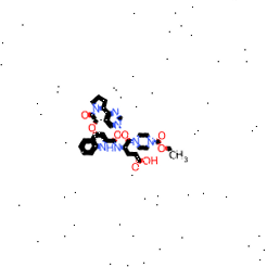 CCOC(=O)N1CCN(C(=O)C(CCC(=O)O)NC(=O)c2cc(OCC(=O)N3CCCC3c3ccncn3)c3ccccc3n2)CC1